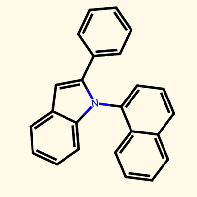 c1ccc(-c2cc3ccccc3n2-c2cccc3ccccc23)cc1